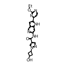 CCOc1nccc(-c2cc3cnc(NC(=O)c4cnn(C5CC(O)C5)c4)cc3[nH]2)n1